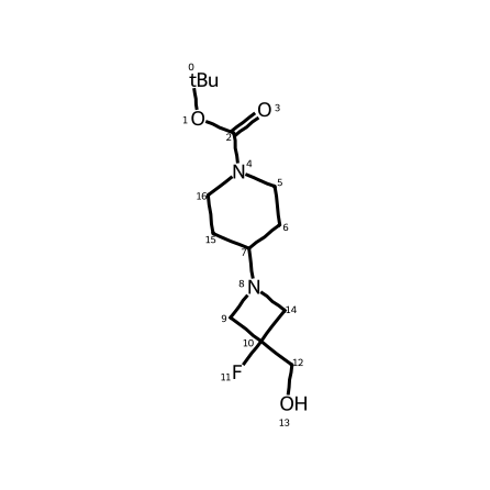 CC(C)(C)OC(=O)N1CCC(N2CC(F)(CO)C2)CC1